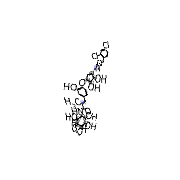 C/C(=C\c1ccc(O[C@@H]2C[C@H](/C=N/OCc3ccc(Cl)cc3Cl)[C@@H](O)[C@@H]2O)c(O)c1)C(=O)N[C@@H]1[C@H](O)[C@@H](O)[C@H]2OCO[C@H]2[C@@H]1O